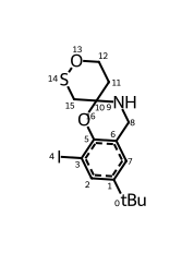 CC(C)(C)c1cc(I)c2c(c1)CNC1(CCOSC1)O2